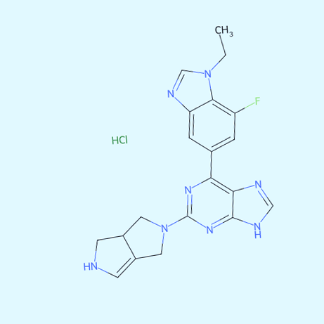 CCn1cnc2cc(-c3nc(N4CC5=CNCC5C4)nc4[nH]cnc34)cc(F)c21.Cl